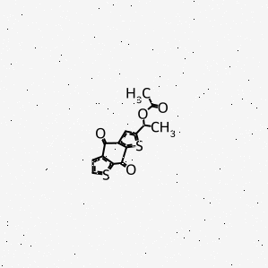 CC(=O)OC(C)c1cc2c(s1)C(=O)c1sccc1C2=O